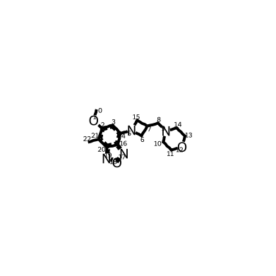 COc1cc(N2CC(CN3CCOCC3)C2)c2nonc2c1C